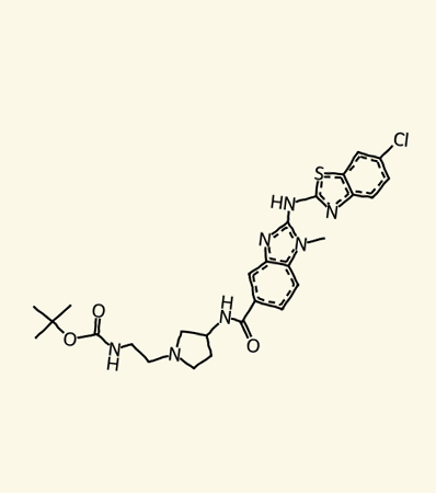 Cn1c(Nc2nc3ccc(Cl)cc3s2)nc2cc(C(=O)NC3CCN(CCNC(=O)OC(C)(C)C)C3)ccc21